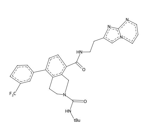 CC(C)(C)NC(=O)N1CCc2c(-c3cccc(C(F)(F)F)c3)ccc(C(=O)NCCc3cn4cccnc4n3)c2C1